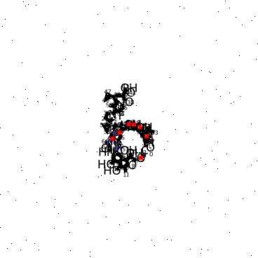 CO[C@H]1CCO[C@@]2(C)Oc3c(C)c(O)c4c(O)c(c(/C=N/N5CCC(N(C)C6([C@@H]7CCN(c8c(F)cn9c(=O)c(C(=O)O)cc(C%10CC%10)c9c8C)C7)CC6)CC5)c(O)c4c3C2O)NC(=O)/C(C)=C\C=C\[C@H](C)[C@H](O)[C@@H](C)[C@@H](O)[C@@H](C)[C@H](OC(C)=O)[C@@H]1C